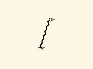 OCCCCCCCCCCC=C(F)F